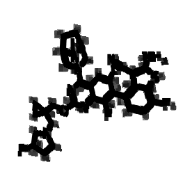 N#Cc1c(N)sc2c(F)ccc(-c3c(Cl)cc4c(N5CC6CCC(C5)N6)nc(OCC5(CN6CC[C@@H](F)C6)CC5)nc4c3F)c12